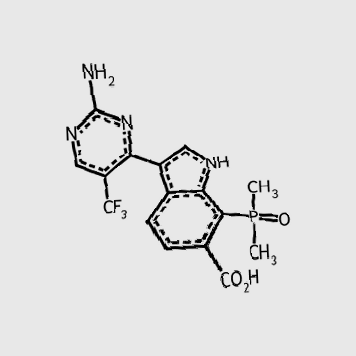 CP(C)(=O)c1c(C(=O)O)ccc2c(-c3nc(N)ncc3C(F)(F)F)c[nH]c12